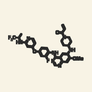 C=CC(=O)N1CCC(Nc2cc3c(Nc4ccc(Oc5ccnc(N[C@H](C)C(F)(F)F)c5)cc4F)ncnc3cc2OC)CC1